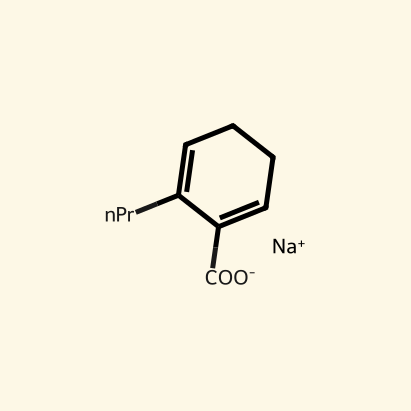 CCCC1=CCCC=C1C(=O)[O-].[Na+]